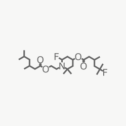 CC(C)CC(C)CC(=O)OCCN1C(F)CC(OC(=O)CC(C)CC(C)(C)F)CC1(C)C